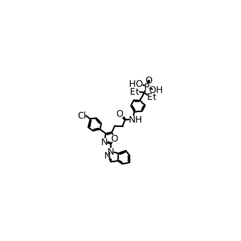 CCC(CC)(c1ccc(NC(=O)CCc2oc(-n3ncc4ccccc43)nc2-c2ccc(Cl)cc2)cc1)P(=O)(O)O